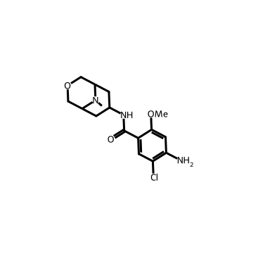 COc1cc(N)c(Cl)cc1C(=O)NC1CC2COCC(C1)N2C